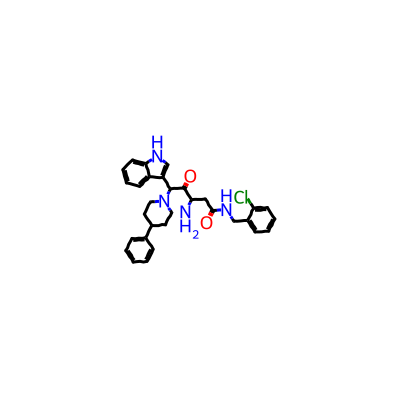 NC(CC(=O)NCc1ccccc1Cl)C(=O)C(c1c[nH]c2ccccc12)N1CCC(c2ccccc2)CC1